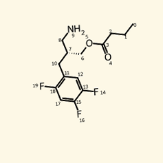 CCCC(=O)OC[C@@H](CN)Cc1cc(F)c(F)cc1F